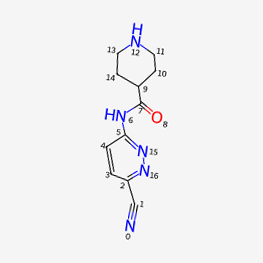 N#Cc1ccc(NC(=O)C2CCNCC2)nn1